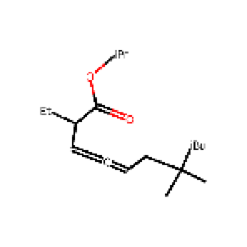 CCC(C=C=CCC(C)(C)C(C)CC)C(=O)OC(C)C